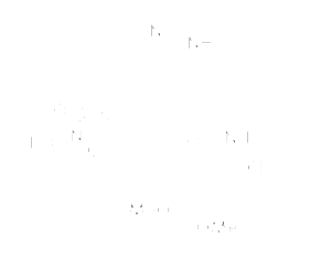 COc1ccc([C@@H](C)NC(=O)/C=C/c2c[nH]c3ncc(-c4cccc(S(=O)(=O)N(C)C)c4)cc23)cc1OC